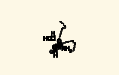 CCCCC/C=C\C/C=C\CCCCCCCCOCC(CNC(=O)[C@@H](CCCCN)NCc1ccccc1)OCCCCCCCC/C=C\C/C=C\CCCCC.Cl.Cl